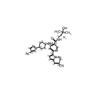 CC(C)(O)[C@H](F)CNC(=O)c1cnc(-c2ccc3cc(C#N)cnn23)cc1NC1CCC(n2cc(C#N)cn2)CC1